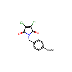 COc1ccc(CN2C(=O)C(Cl)=C(Cl)C2=O)cc1